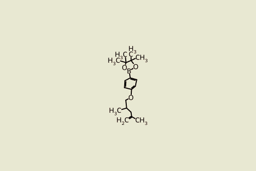 C=C(C)CC(C)COc1ccc(B2OC(C)(C)C(C)(C)O2)cc1